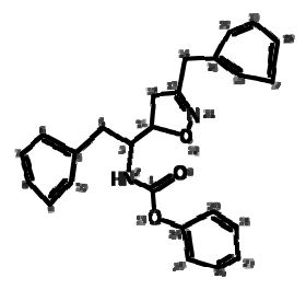 O=C(NC(Cc1ccccc1)C1CC(Cc2ccccc2)=NO1)Oc1ccccc1